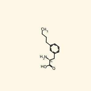 CCCCc1cccc(C[C@H](N)C(=O)O)c1